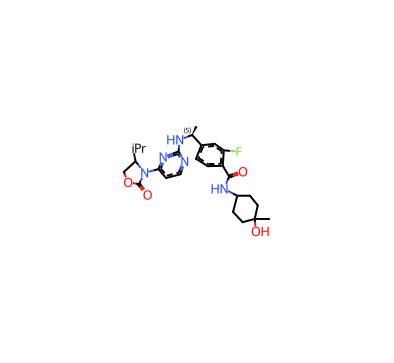 CC(C)C1COC(=O)N1c1ccnc(N[C@@H](C)c2ccc(C(=O)NC3CCC(C)(O)CC3)c(F)c2)n1